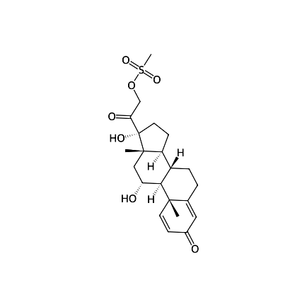 C[C@]12C=CC(=O)C=C1CC[C@@H]1[C@@H]2[C@H](O)C[C@@]2(C)[C@H]1CC[C@]2(O)C(=O)COS(C)(=O)=O